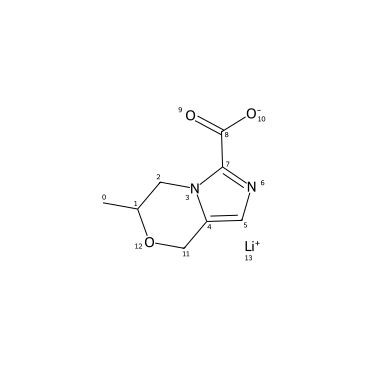 CC1Cn2c(cnc2C(=O)[O-])CO1.[Li+]